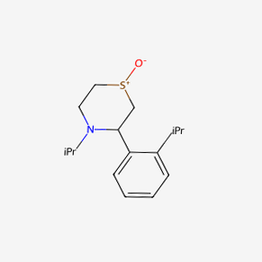 CC(C)c1ccccc1C1C[S+]([O-])CCN1C(C)C